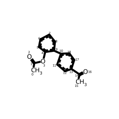 CC(=O)Oc1ccccc1-c1ccc(C(C)=O)cc1